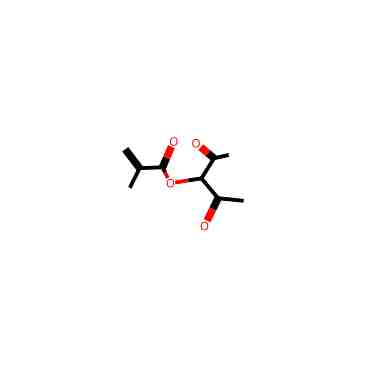 C=C(C)C(=O)OC(C(C)=O)C(C)=O